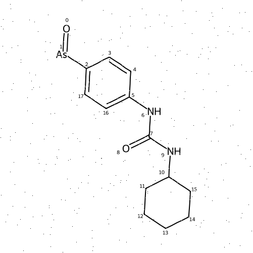 O=[As]c1ccc(NC(=O)NC2CCCCC2)cc1